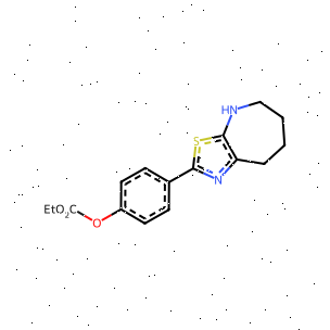 CCOC(=O)Oc1ccc(-c2nc3c(s2)NCCCC3)cc1